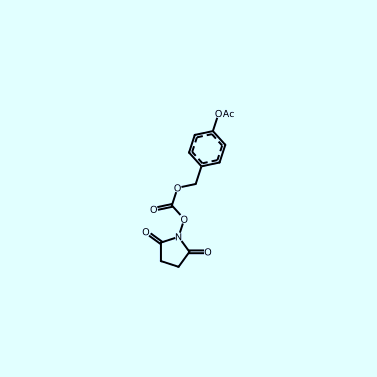 CC(=O)Oc1ccc(COC(=O)ON2C(=O)CCC2=O)cc1